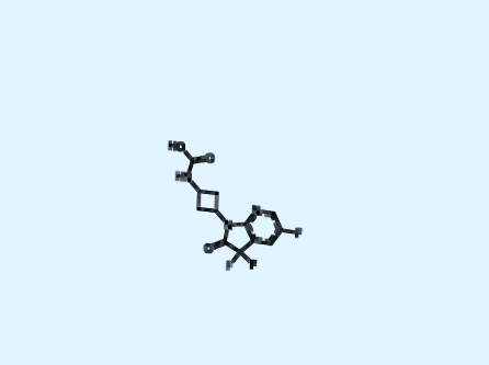 O=C(O)NC1CC(N2C(=O)C(F)(F)c3cc(F)cnc32)C1